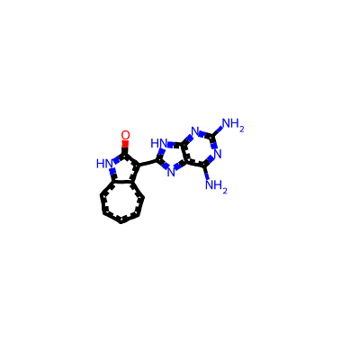 Nc1nc(N)c2nc(-c3c4cccccc-4[nH]c3=O)[nH]c2n1